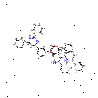 N=C(/C(=C1\NC(c2ccccc2)=Cc2cccc(-c3ccc(-c4cccc(-c5cc(-c6ccccc6)nc(-c6ccccc6)n5)c4)cc3)c21)c1ccccc1)c1ccccc1